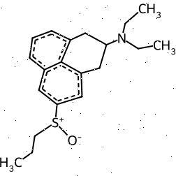 CCC[S+]([O-])c1cc2c3c(cccc3c1)CC(N(CC)CC)C2